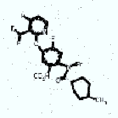 CC(C)N(c1cc(F)c(Oc2nccc(I)c2C(F)F)cc1C(=O)O)C(=O)[C@H]1CC[C@H](C)CC1